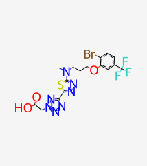 CN(CCCOc1cc(C(F)(F)F)ccc1Br)c1nnc(-c2nnn(CC(=O)O)n2)s1